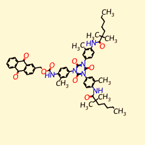 CCCCCC(C)(C)C(=O)Nc1ccc(-n2c(=O)n(-c3ccc(NC(=O)OCc4ccc5c(c4)C(=O)c4ccccc4C5=O)c(C)c3)c(=O)n(-c3ccc(NC(=O)C(C)(C)CCCCC)c(C)c3)c2=O)cc1C